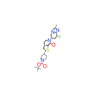 Cc1cn2cc(-n3ccc4cc(C5CCN(C(=O)OC(C)(C)C)CC5)sc4c3=O)cc(F)c2n1